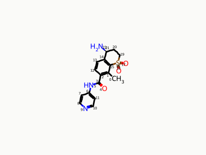 Cc1c(C(=O)Nc2ccncc2)ccc2c1S(=O)(=O)CC[C@@H]2N